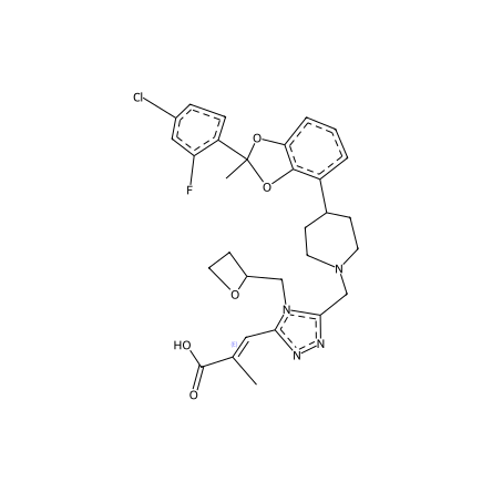 C/C(=C\c1nnc(CN2CCC(c3cccc4c3OC(C)(c3ccc(Cl)cc3F)O4)CC2)n1CC1CCO1)C(=O)O